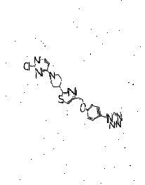 Clc1nccc(N2CCC(c3nc(COc4ccc(-n5cnnn5)cc4)cs3)CC2)n1